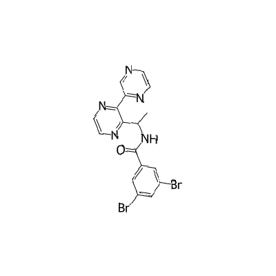 CC(NC(=O)c1cc(Br)cc(Br)c1)c1nccnc1-c1cnccn1